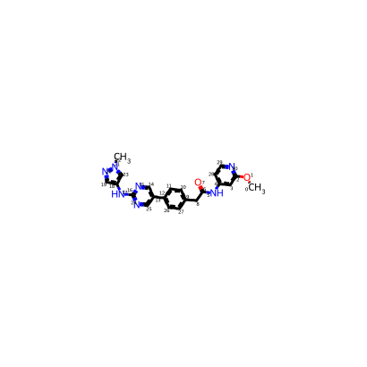 COc1cc(NC(=O)Cc2ccc(-c3cnc(Nc4cnn(C)c4)nc3)cc2)ccn1